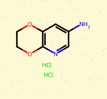 Cl.Cl.Nc1cnc2c(c1)OCCO2